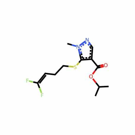 CC(C)OC(=O)c1cnn(C)c1SCCC=C(F)F